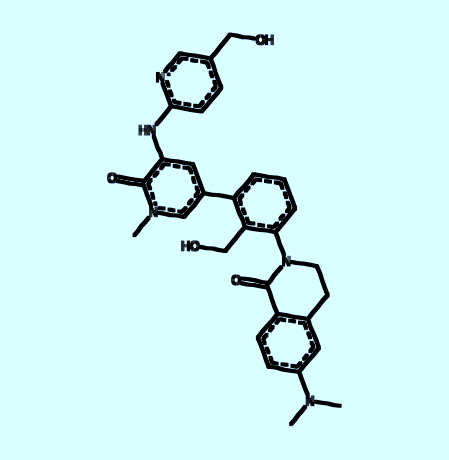 CN(C)c1ccc2c(c1)CCN(c1cccc(-c3cc(Nc4ccc(CO)cn4)c(=O)n(C)c3)c1CO)C2=O